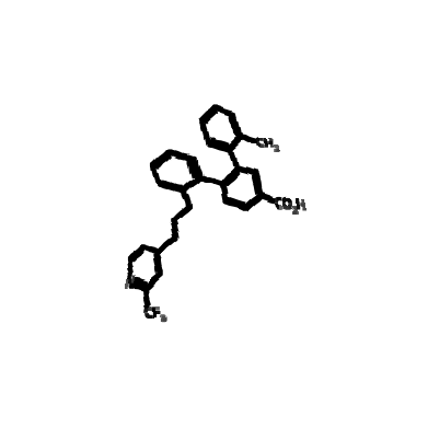 Cc1ccccc1-c1cc(C(=O)O)ccc1-c1ccccc1CCCc1ccnc(C(F)(F)F)c1